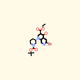 CCOC(=O)c1cn([C@H]2CCCN(C(=O)OC(C)(C)C)C2)c2cnc(Br)cc2c1=O